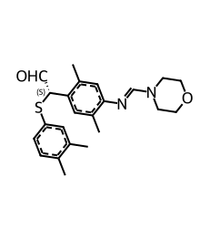 Cc1ccc(S[C@H](C=O)c2cc(C)c(N=CN3CCOCC3)cc2C)cc1C